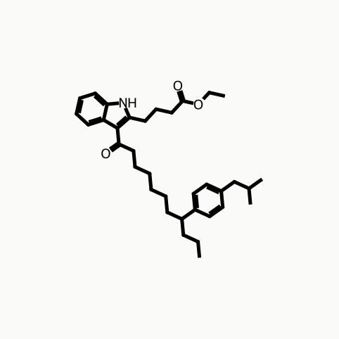 CCCC(CCCCCCC(=O)c1c(CCCC(=O)OCC)[nH]c2ccccc12)c1ccc(CC(C)C)cc1